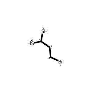 SC(S)C[CH2][Bi]